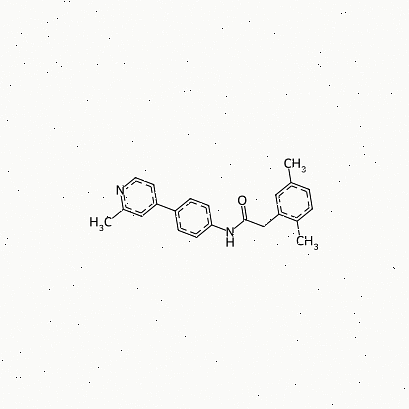 Cc1ccc(C)c(CC(=O)Nc2ccc(-c3ccnc(C)c3)cc2)c1